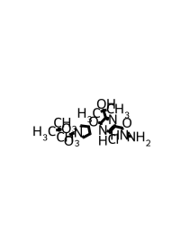 CC(C)(C)OC(=O)N1CC[C@@H](OC2NC(Cl)=C(C(=O)NN)N=C2C(C)(C)O)C1